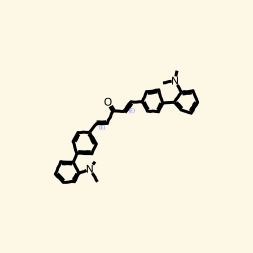 CN(C)c1ccccc1-c1ccc(/C=C/C(=O)/C=C/c2ccc(-c3ccccc3N(C)C)cc2)cc1